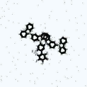 Fc1c(F)c(F)c(-c2cc(-n3c4ccccc4c4cc(-n5c6ccccc6c6ccccc65)ccc43)c(-n3c4ccccc4c4cc(-n5c6ccccc6c6ccccc65)ccc43)cc2C(F)(F)F)c(F)c1F